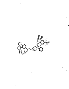 CC(=O)N(Cc1cc(C(F)(F)F)cc(C(F)(F)F)c1)C1(c2ccccc2)CCN(CCC(CN)c2ccc(Cl)c(Cl)c2)CC1